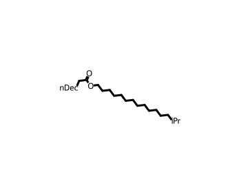 CCCCCCCCCCCC(=O)OCCCCCCCCCCCCCC(C)C